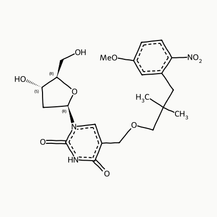 COc1ccc([N+](=O)[O-])c(CC(C)(C)COCc2cn([C@H]3C[C@H](O)[C@@H](CO)O3)c(=O)[nH]c2=O)c1